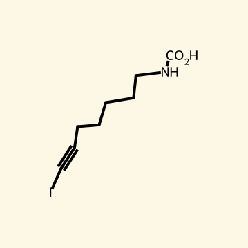 O=C(O)NCCCCCC#CI